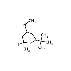 CNC1CN(C(C)(C)C)CC(C)(I)C1